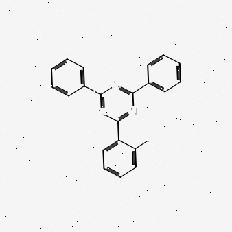 Fc1ccccc1-c1nc(-c2ccccc2)nc(-c2ccccc2)n1